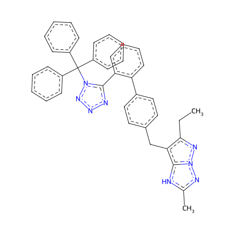 CCc1nn2nc(C)[nH]c2c1Cc1ccc(-c2ccccc2-c2nnnn2C(c2ccccc2)(c2ccccc2)c2ccccc2)cc1